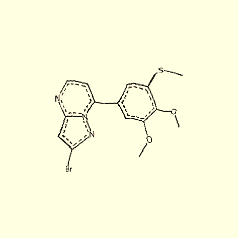 COc1cc(-c2ccnc3cc(Br)nn23)cc(SC)c1OC